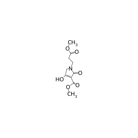 COC(=O)CCN1CC(O)=C(C(=O)OC)C1=O